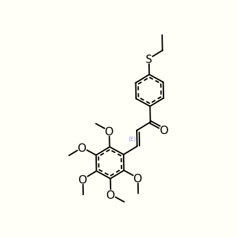 CCSc1ccc(C(=O)/C=C/c2c(OC)c(OC)c(OC)c(OC)c2OC)cc1